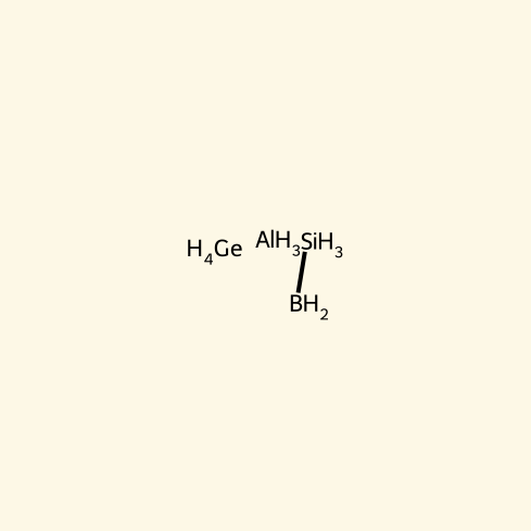 B[SiH3].[AlH3].[GeH4]